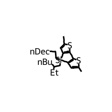 CCCCCCCCCCCC[Si]1(CC(CC)CCCC)c2cc(C)sc2-c2sc(C)cc21